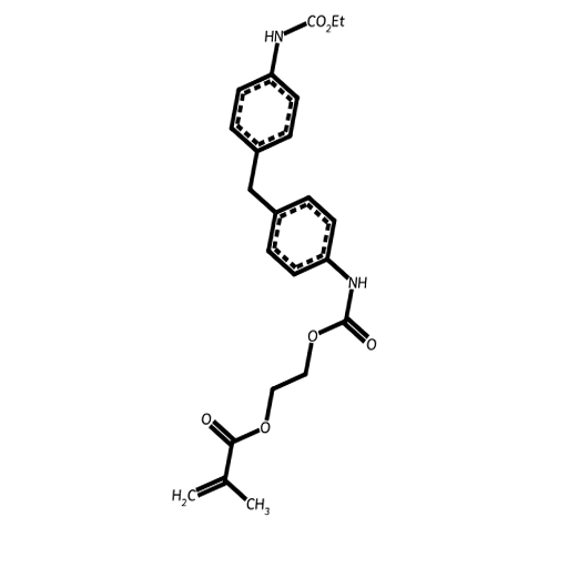 C=C(C)C(=O)OCCOC(=O)Nc1ccc(Cc2ccc(NC(=O)OCC)cc2)cc1